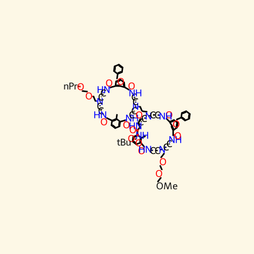 CCCOCCOCCN1CCNC(=O)c2cccc(c2C)C(=O)NCCN(CC(CN2CCNC(=O)c3cccc(c3C)C(=O)NCCN(CCOCCOCCOC)CCNC(=O)c3cccc(c3OCc3ccccc3)C(=O)NCC2)OCCCCNC(=O)OC(C)(C)C)CCNC(=O)c2cccc(c2OCc2ccccc2)C(=O)NCC1